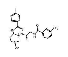 CC(=O)N1CCC(NC(=S)c2ccc(C)cc2)C(NC(=O)CNC(=O)c2cccc(C(F)(F)F)c2)C1